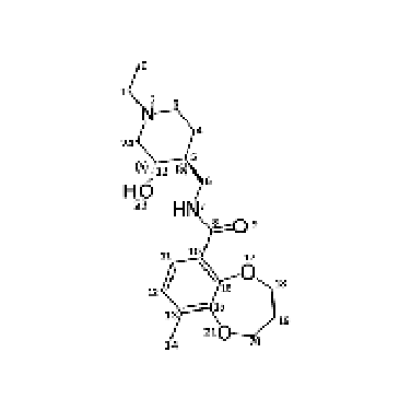 CCN1CC[C@@H](CNC(=O)c2ccc(C)c3c2OCCCO3)[C@H](O)C1